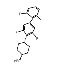 CCCC[C@H]1CC[C@H](c2c(F)cc(-c3c(F)cccc3F)cc2F)CC1